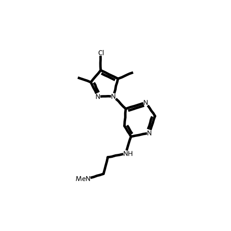 CNCCNc1cc(-n2nc(C)c(Cl)c2C)ncn1